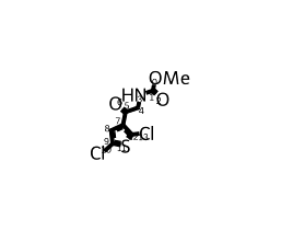 COC(=O)NCC(=O)c1cc(Cl)sc1Cl